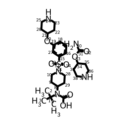 CC(C)(C)N(C(=O)O)C1CCN(S(=O)(=O)c2cccc(OC3CCNCC3)c2)CC1.NC(=O)OC1CCNCC1